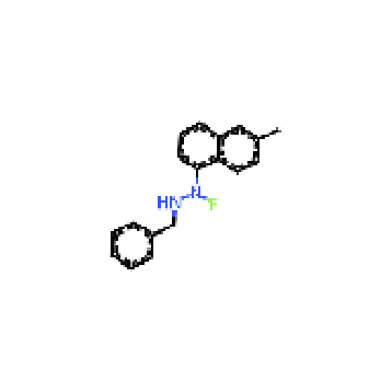 Cc1ccc2c(N(F)NCc3ccccc3)cccc2c1